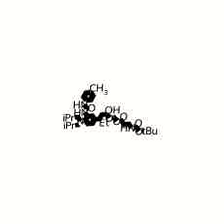 CC[C@@H](CC(O)OCOC(=O)CCNC(=O)OC(C)(C)C)c1ccc(N(CC(C)C)CC(C)C)c(NC(=O)Nc2ccc(C)cc2)c1